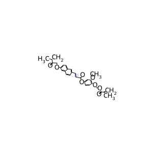 C=C(C)C(=O)COc1ccc2cc(/C=C/C(=O)Oc3ccc(OCOC(=O)C(=C)C)c(OC)c3)ccc2c1